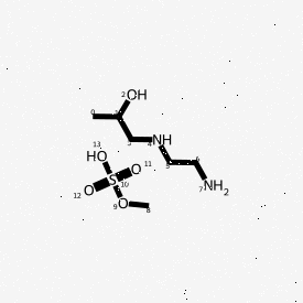 CC(O)CNCCN.COS(=O)(=O)O